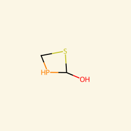 OC1PCS1